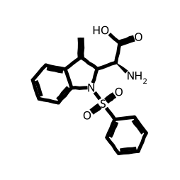 C=C1c2ccccc2N(S(=O)(=O)c2ccccc2)C1[C@H](N)C(=O)O